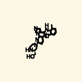 Cc1cccc(Cl)c1Nc1nc2ccc(N3CCN[C@@H](CO)C3)nc2n2cncc12